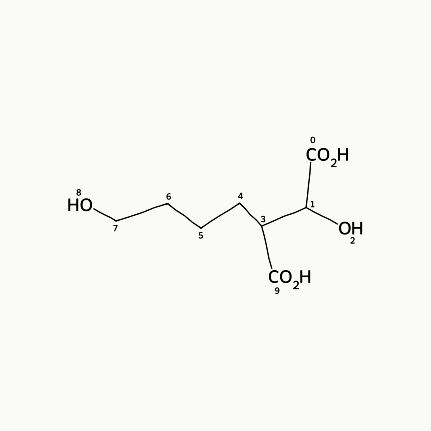 O=C(O)C(O)C(CCCCO)C(=O)O